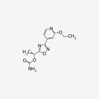 CCOc1cc(-c2noc([C@H](C)OC(N)=O)n2)ccn1